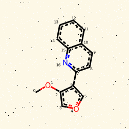 COc1co[c]c1-c1ccc2ccccc2n1